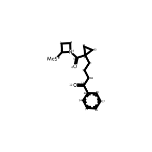 CSC1CCN1C(=O)C1(CCCC(=O)c2ccccc2)CC1